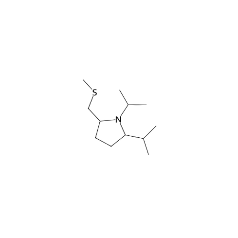 CSCC1CCC(C(C)C)N1C(C)C